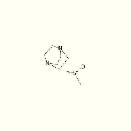 C1CN2CCN1CC2.C[S+](C)[O-]